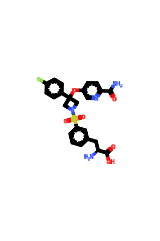 NC(=O)c1ccc(OC2(c3ccc(F)cc3)CN(S(=O)(=O)c3cccc(C[C@H](N)C(=O)O)c3)C2)cn1